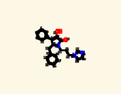 O=C1C(O)=C(c2ccccc2)C(Cc2ccccc2)N1CCCn1ccnc1